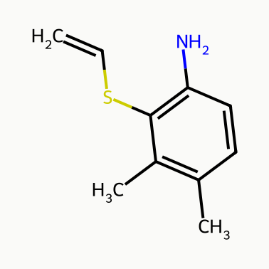 C=CSc1c(N)ccc(C)c1C